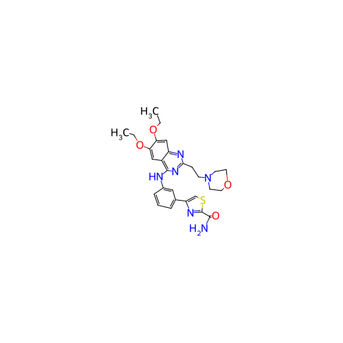 CCOc1cc2nc(CCN3CCOCC3)nc(Nc3cccc(-c4csc(C(N)=O)n4)c3)c2cc1OCC